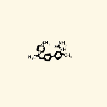 Cc1ccc(-c2ccc(CC(C)N3CCN(C)CC3)cc2)cc1NC(N)=S